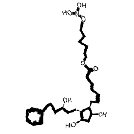 O=C(CCC/C=C\C[C@@H]1[C@@H](CC[C@@H](O)CCc2ccccc2)[C@H](O)C[C@@H]1O)OCCCCCCON(O)O